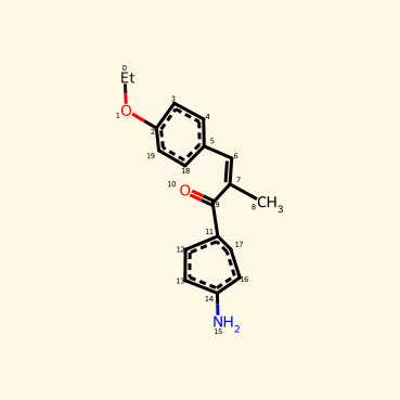 CCOc1ccc(C=C(C)C(=O)c2ccc(N)cc2)cc1